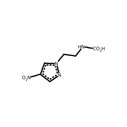 O=C(O)NCCn1cc([N+](=O)[O-])cn1